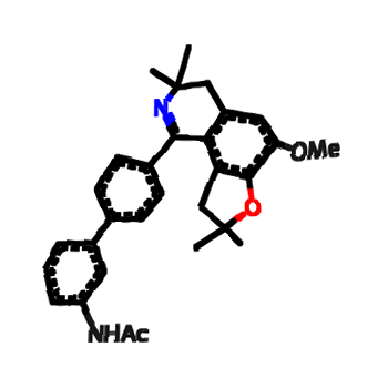 COc1cc2c(c3c1OC(C)(C)C3)C(c1ccc(-c3cccc(NC(C)=O)c3)cc1)=NC(C)(C)C2